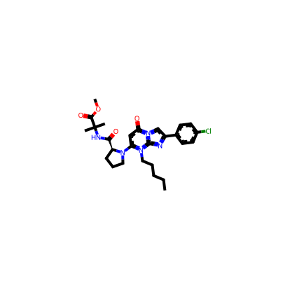 CCCCCn1c(N2CCC[C@H]2C(=O)NC(C)(C)C(=O)OC)cc(=O)n2cc(-c3ccc(Cl)cc3)nc12